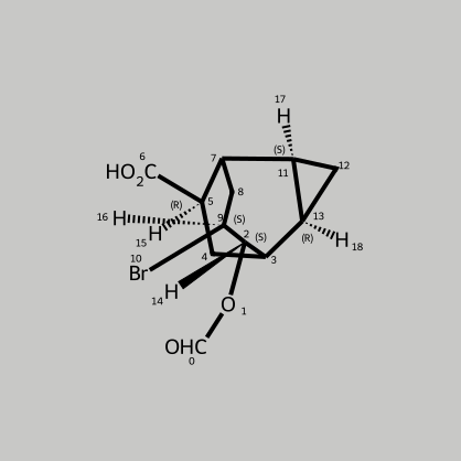 O=CO[C@H]1C2C[C@@H](C(=O)O)C(C[C@@H]1Br)[C@H]1C[C@@H]21